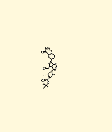 C[C@@H]1CN(c2ncnc3c2c(C=O)cn3C2CCCC(C(N)=O)C2)[C@@H](C)CN1C(=O)OC(C)(C)C